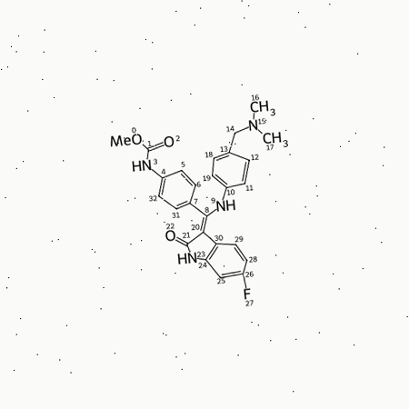 COC(=O)Nc1ccc(C(Nc2ccc(CN(C)C)cc2)=C2C(=O)Nc3cc(F)ccc32)cc1